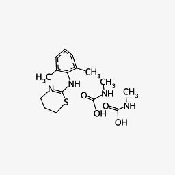 CNC(=O)O.CNC(=O)O.Cc1cccc(C)c1NC1=NCCCS1